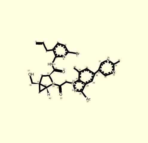 C=CCc1ccc(Br)nc1NC(=O)[C@@H]1C[C@@]2(CO)C[C@H]2N1C(=O)Cn1nc(C(C)=O)c2cc(-c3cnc(C)nc3)cc(C)c21